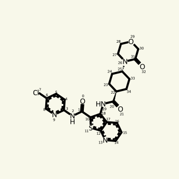 O=C(Nc1ccc(Cl)cn1)c1sc2ncccc2c1NC(=O)[C@H]1CC[C@H](N2CCOCC2=O)CC1